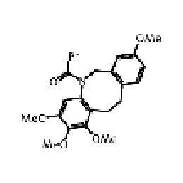 COc1ccc2c(c1)CN(C(=O)C(C)C)c1cc(OC)c(OC)c(OC)c1CC2